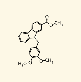 COC(=O)c1ccc2c3ccccc3n(Cc3ccc(OC)c(OC)c3)c2c1